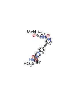 CNC(=O)c1ccc(CNC(=O)c2cc(C#Cc3ccc(N4CCN(S(=O)(=O)N[C@@H](C(=O)O)C(C)C)CC4)cc3)ccn2)cc1